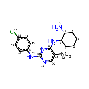 N[C@@H]1CCCC[C@H]1Nc1nc(Nc2ccc(Cl)cc2)ncc1[N+](=O)[O-]